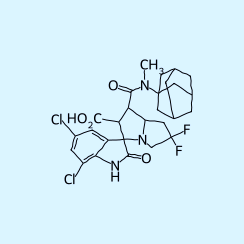 CN(C(=O)C1C2CC(F)(F)CN2C2(C(=O)Nc3c(Cl)cc(Cl)cc32)C1C(=O)O)C12CC3CC(CC(C3)C1)C2